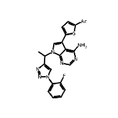 CC(=O)c1ccc(-c2cn(C(C)c3cn(-c4ccccc4F)nn3)c3ncnc(N)c23)s1